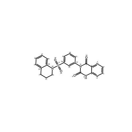 O=c1[nH]c2nccnc2c(=O)n1-c1cccc(S(=O)(=O)N2CCCc3ccccc32)c1